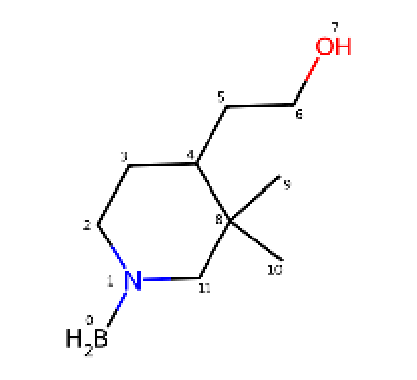 BN1CCC(CCO)C(C)(C)C1